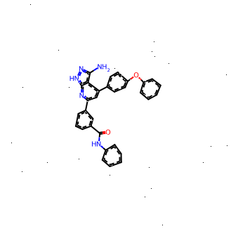 Nc1n[nH]c2nc(-c3cccc(C(=O)Nc4ccccc4)c3)cc(-c3ccc(Oc4ccccc4)cc3)c12